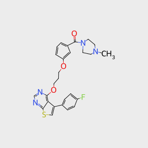 CN1CCN(C(=O)c2cccc(OCCCOc3ncnc4scc(-c5ccc(F)cc5)c34)c2)CC1